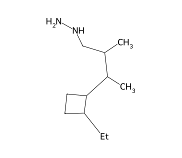 CCC1CCC1C(C)C(C)CNN